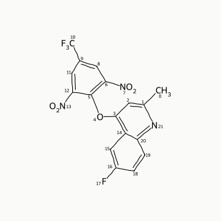 Cc1cc(Oc2c([N+](=O)[O-])cc(C(F)(F)F)cc2[N+](=O)[O-])c2cc(F)ccc2n1